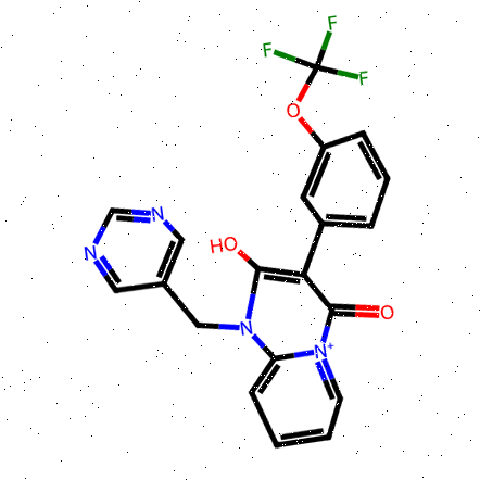 O=c1c(-c2cccc(OC(F)(F)F)c2)c(O)n(Cc2cncnc2)c2cccc[n+]12